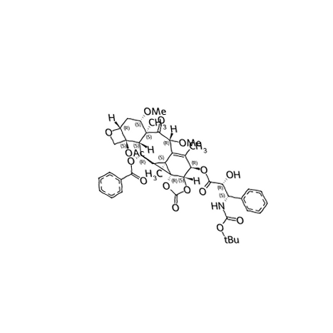 CO[C@H]1C(=O)[C@]2(C)[C@@H](OC)C[C@H]3OC[C@@]3(OC(C)=O)[C@H]2[C@]2(OC(=O)c3ccccc3)C[C@@]3(C)C1=C(C)[C@@H](OC(=O)[C@H](O)[C@@H](NC(=O)OC(C)(C)C)c1ccccc1)[C@@H]1OC(=O)O[C@@]132